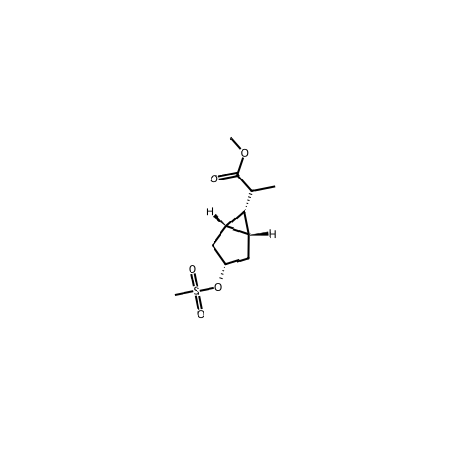 COC(=O)C(C)[C@@H]1[C@@H]2C[C@H](OS(C)(=O)=O)C[C@@H]21